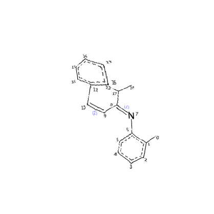 Cc1ccccc1/N=C(\C=C/c1ccccc1)C(C)C